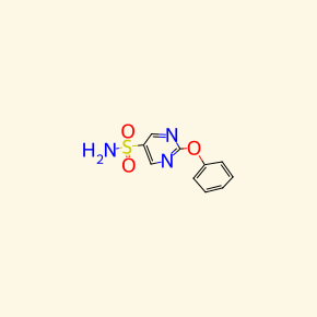 NS(=O)(=O)c1cnc(Oc2ccccc2)nc1